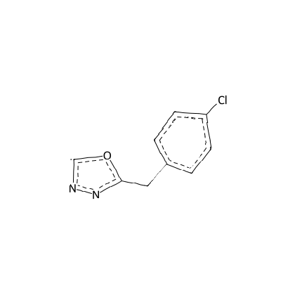 Clc1ccc(Cc2nn[c]o2)cc1